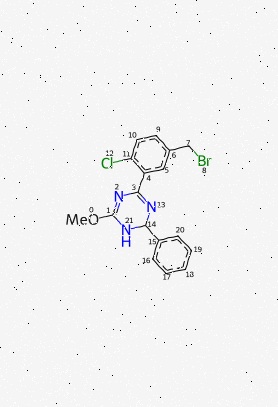 COC1=NC(c2cc(CBr)ccc2Cl)=NC(c2ccccc2)N1